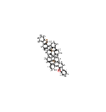 c1ccc([Si](c2ccccc2)(c2cccc3c2sc2c(-c4cccc5c4oc4ccccc45)cccc23)c2cccc3c2sc2c(-c4cccc5c4sc4ccccc45)cccc23)cc1